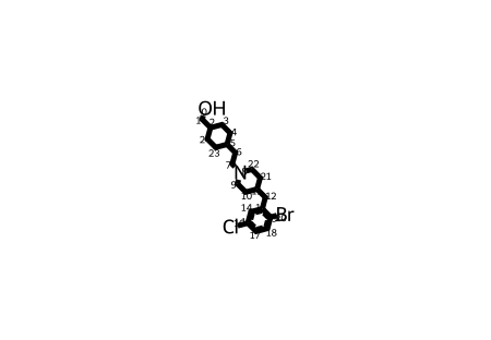 OCC1CCC(CCN2CCC(Cc3cc(Cl)ccc3Br)CC2)CC1